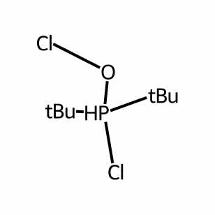 CC(C)(C)[PH](Cl)(OCl)C(C)(C)C